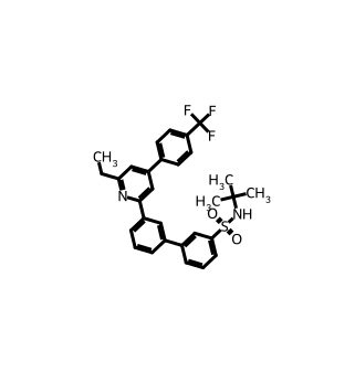 CCc1cc(-c2ccc(C(F)(F)F)cc2)cc(-c2cccc(-c3cccc(S(=O)(=O)NC(C)(C)C)c3)c2)n1